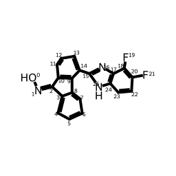 ON=C1c2ccccc2-c2c1cccc2-c1nc2c(F)c(F)ccc2[nH]1